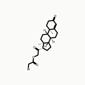 C[C@]12CC[C@H]3[C@@H](CCC4=CC(=O)CC[C@@]43C)[C@@H]1CC[C@@H]2C(=O)COC(=O)CBr